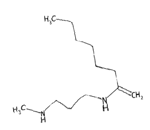 C=C(CCCCCC)NCCCNC